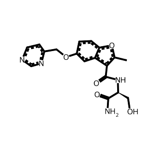 Cc1oc2ccc(OCc3ccncn3)cc2c1C(=O)N[C@@H](CO)C(N)=O